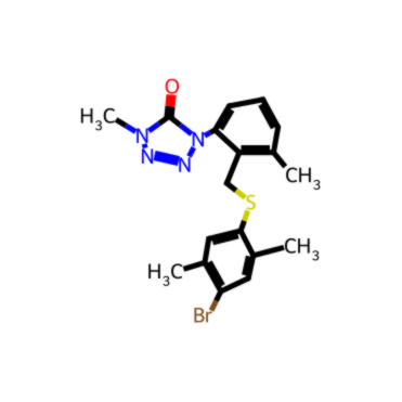 Cc1cc(SCc2c(C)cccc2-n2nnn(C)c2=O)c(C)cc1Br